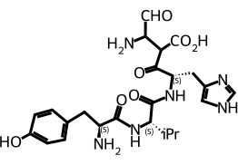 CC(C)[C@H](NC(=O)[C@@H](N)Cc1ccc(O)cc1)C(=O)N[C@@H](Cc1c[nH]cn1)C(=O)C(C(=O)O)C(N)C=O